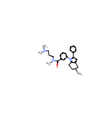 CC1CCc2c(cc(-c3ccccc3)n2-c2cccc(C(=O)N(C)CCCN(C)C)c2)C1